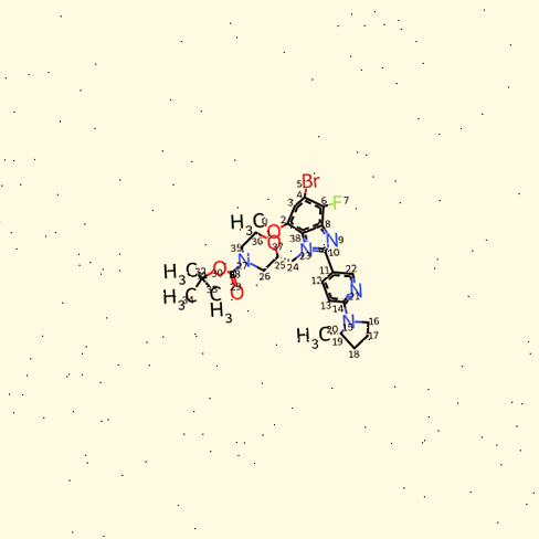 COc1cc(Br)c(F)c2nc(-c3ccc(N4CCC[C@@H]4C)nc3)n(C[C@@H]3CN(C(=O)OC(C)(C)C)CCO3)c12